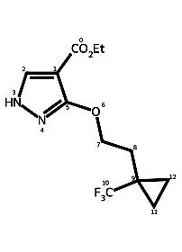 CCOC(=O)c1c[nH]nc1OCCC1(C(F)(F)F)CC1